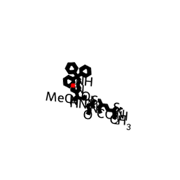 CON=C(C(=O)NC1C(=O)N2C(C(=O)O)=C(C=Cc3scnc3C)CS[C@@H]12)c1csc(NC(c2ccccc2)(c2ccccc2)c2ccccc2)n1